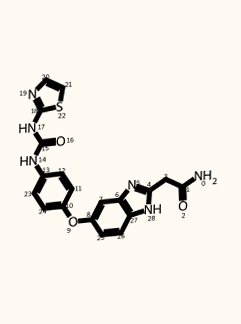 NC(=O)Cc1nc2cc(Oc3ccc(NC(=O)Nc4nccs4)cc3)ccc2[nH]1